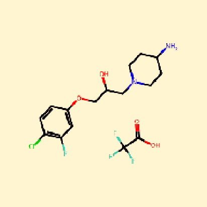 NC1CCN(CC(O)COc2ccc(Cl)c(F)c2)CC1.O=C(O)C(F)(F)F